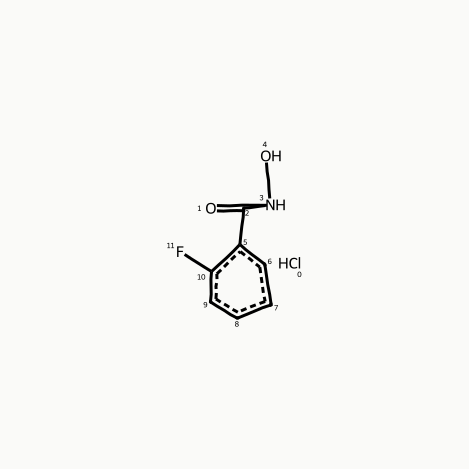 Cl.O=C(NO)c1ccccc1F